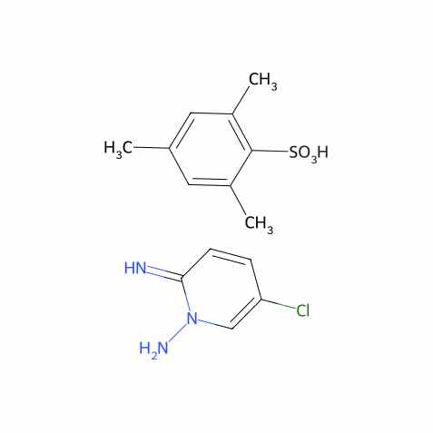 Cc1cc(C)c(S(=O)(=O)O)c(C)c1.N=c1ccc(Cl)cn1N